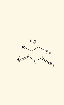 C=COC=C.NCCO.O